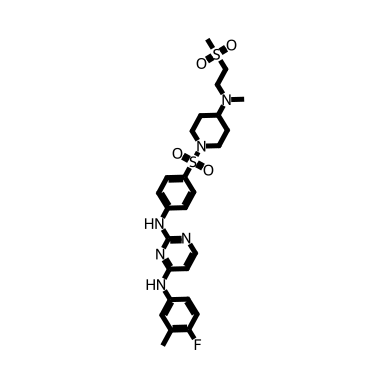 Cc1cc(Nc2ccnc(Nc3ccc(S(=O)(=O)N4CCC(N(C)CCS(C)(=O)=O)CC4)cc3)n2)ccc1F